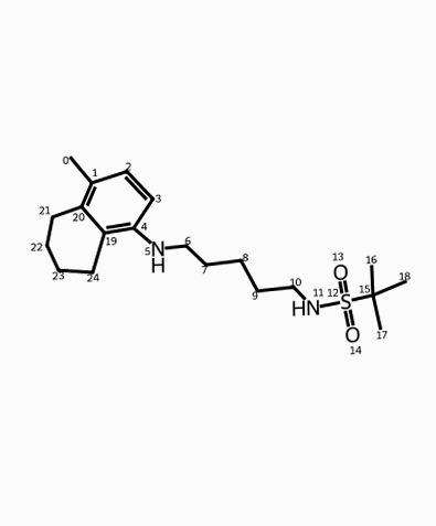 Cc1ccc(NCCCCCNS(=O)(=O)C(C)(C)C)c2c1CCCC2